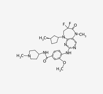 COc1cc(C(=O)NC2CCN(C)CC2)ccc1Nc1ncc2c(n1)N(C1CC[C@@H](C)C1)CC(F)(F)C(=O)N2C